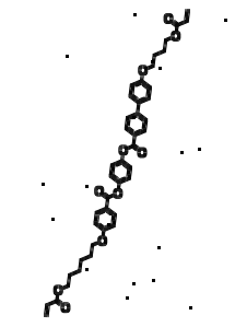 C=CC(=O)OCCCCCCOc1ccc(C(=O)Oc2ccc(OC(=O)c3ccc(-c4ccc(OCCCCOC(=O)C=C)cc4)cc3)cc2)cc1